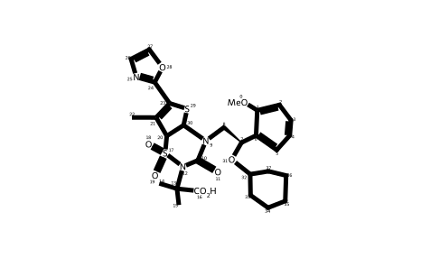 COc1ccccc1[C@H](CN1C(=O)N(C(C)(C)C(=O)O)S(=O)(=O)C2C(C)=C(c3ncco3)SC21)OC1CCCCC1